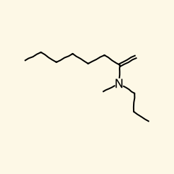 C=C(CCCCCC)N(C)CCC